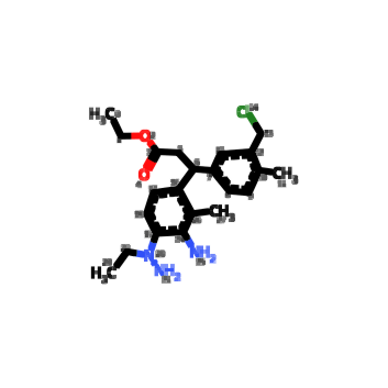 CCOC(=O)CC(c1ccc(C)c(CCl)c1)c1ccc(N(N)CC)c(N)c1C